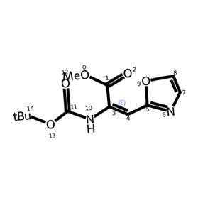 COC(=O)/C(=C\c1ncco1)NC(=O)OC(C)(C)C